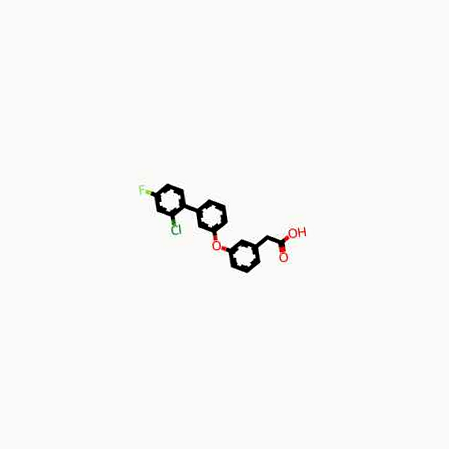 O=C(O)Cc1cccc(Oc2cccc(-c3ccc(F)cc3Cl)c2)c1